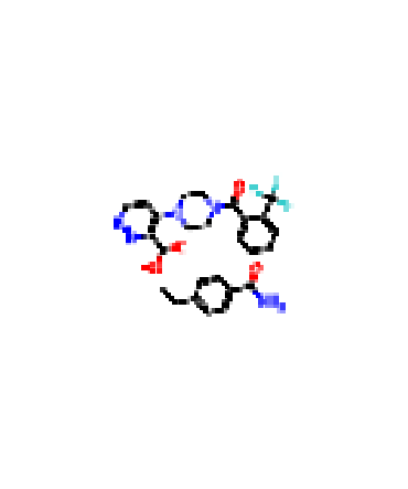 CCc1ccc(C(N)=O)cc1.O=C(O)c1nnccc1N1CCN(C(=O)c2ccccc2C(F)(F)F)CC1